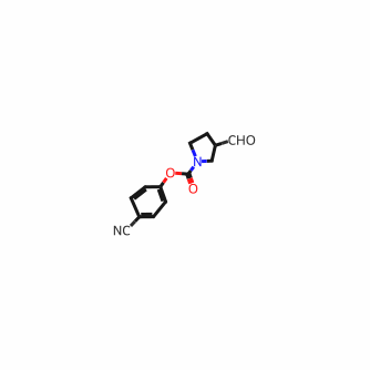 N#Cc1ccc(OC(=O)N2CCC(C=O)C2)cc1